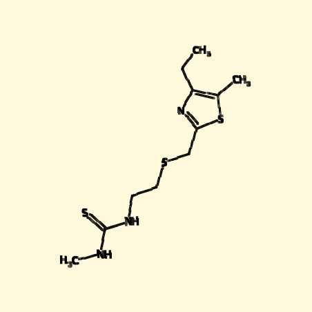 CCc1nc(CSCCNC(=S)NC)sc1C